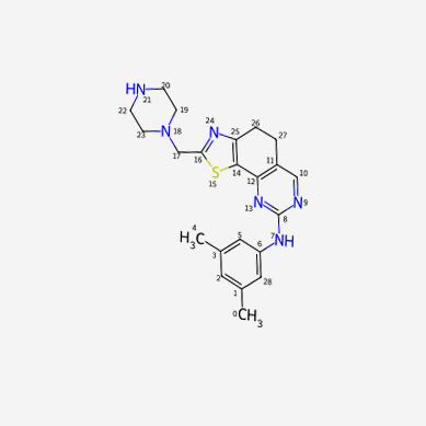 Cc1cc(C)cc(Nc2ncc3c(n2)-c2sc(CN4CCNCC4)nc2CC3)c1